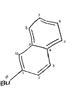 C[CH]C(C)c1ccc2ccccc2c1